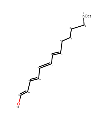 CCCCCCCCCCCCC=CC=CC=CC=C[O]